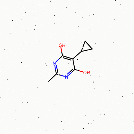 Cc1nc(O)c(C2CC2)c(O)n1